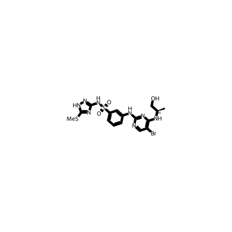 CSc1nc(NS(=O)(=O)c2cccc(Nc3ncc(Br)c(N[C@H](C)CO)n3)c2)n[nH]1